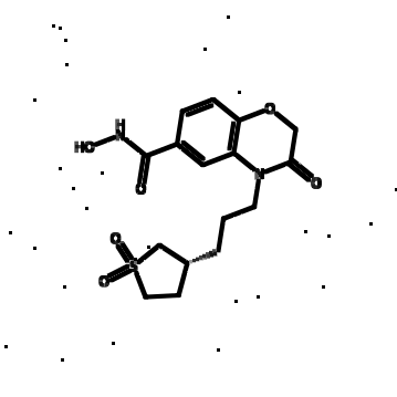 O=C(NO)c1ccc2c(c1)N(CCC[C@@H]1CCS(=O)(=O)C1)C(=O)CO2